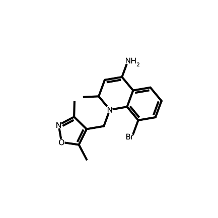 Cc1noc(C)c1CN1c2c(Br)cccc2C(N)=CC1C